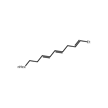 [CH2]CCCCCCCC=CC=CCC=CCC